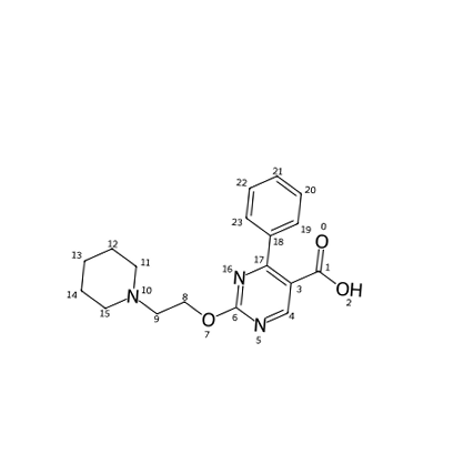 O=C(O)c1cnc(OCCN2CCCCC2)nc1-c1ccccc1